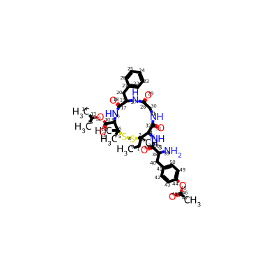 CC[C@]1(C)SSC(C)(C)C(C(=O)OC(C)C)NC(=O)C(Cc2ccccc2)NC(=O)CNC(=O)C1NC(=O)C(N)Cc1ccc(OC(C)=O)cc1